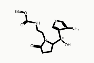 Cc1cscc1[C@@H](O)C1CCC(=O)N1CCNC(=O)OC(C)(C)C